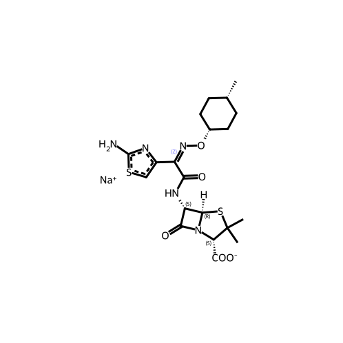 CC1(C)S[C@@H]2[C@@H](NC(=O)/C(=N\O[C@H]3CC[C@@H](C)CC3)c3csc(N)n3)C(=O)N2[C@H]1C(=O)[O-].[Na+]